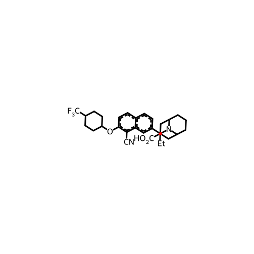 CCC(c1ccc2ccc(OC3CCC(C(F)(F)F)CC3)c(C#N)c2c1)N1C2CCCC1CC(C(=O)O)C2